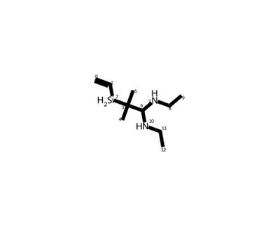 C=C[SiH2]C(C)(C)C(NCC)NCC